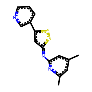 Cc1cc(C)nc(N=c2cc(-c3cccnc3)ss2)c1